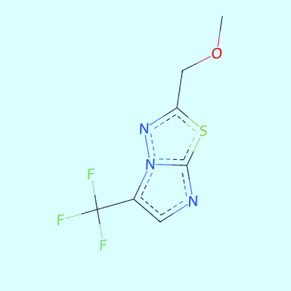 COCc1nn2c(C(F)(F)F)cnc2s1